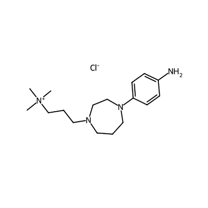 C[N+](C)(C)CCCN1CCCN(c2ccc(N)cc2)CC1.[Cl-]